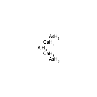 [AlH3].[AsH3].[AsH3].[GaH3].[GaH3]